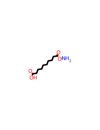 NOC(=O)CCCCCCCCC(=O)O